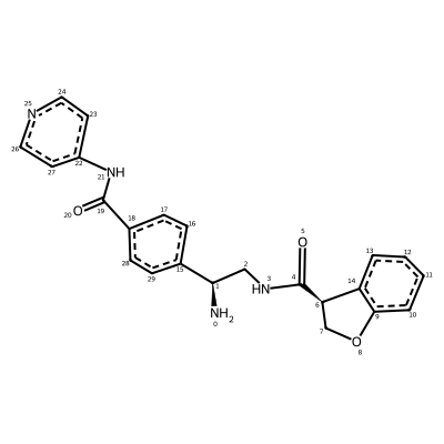 N[C@H](CNC(=O)[C@@H]1COc2ccccc21)c1ccc(C(=O)Nc2ccncc2)cc1